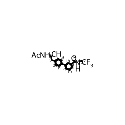 CC(=O)NC(C)Cc1ccc(-c2cccc(C(=O)NCC(F)(F)F)c2)cc1